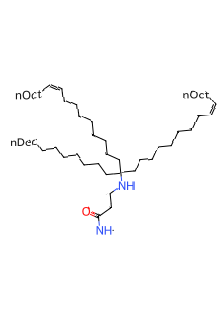 CCCCCCCC/C=C\CCCCCCCCC(CCCCCCCC/C=C\CCCCCCCC)(CCCCCCCCCCCCCCCCC)N[CH]CC([NH])=O